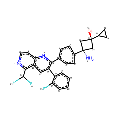 N[C@]1(c2ccc(-c3nc4ccnc(C(F)F)c4cc3-c3ccccc3F)cc2)C[C@](O)(C2CC2)C1